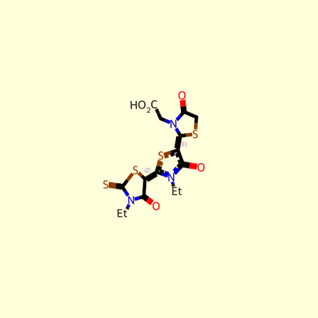 CCN1C(=O)/C(=c2/s/c(=C3/SCC(=O)N3CC(=O)O)c(=O)n2CC)SC1=S